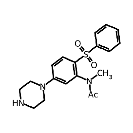 CC(=O)N(C)c1cc(N2CCNCC2)ccc1S(=O)(=O)c1ccccc1